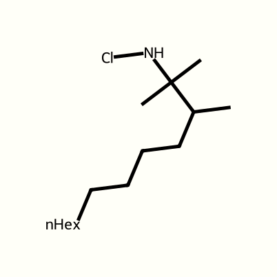 CCCCCCCCCCC(C)C(C)(C)NCl